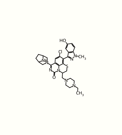 CCN1CCN(CC2CSc3c(-c4nn(C)c5ccc(O)cc45)c(Cl)cc4c(N5CC6CCC(C5)N6)nc(=O)n2c34)CC1